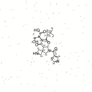 C[C@@H](O)[C@@H](C(=O)O)N(C(=O)C1CN(C(=O)c2cncs2)CC12CNC2)C(=O)[C@H]1CC1(C)C